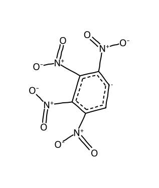 O=[N+]([O-])c1[c]cc([N+](=O)[O-])c([N+](=O)[O-])c1[N+](=O)[O-]